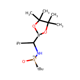 CC(C)C(N[S@+]([O-])C(C)(C)C)B1OC(C)(C)C(C)(C)O1